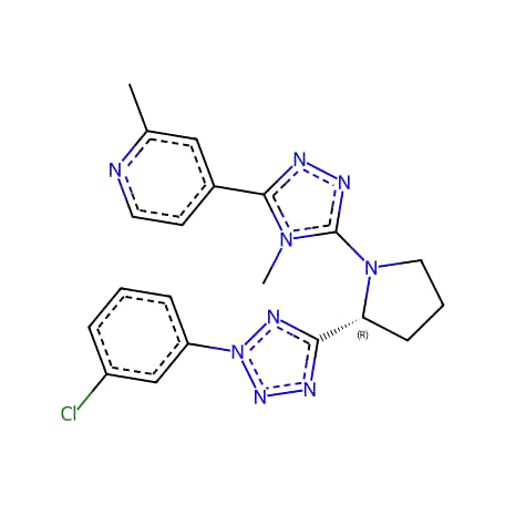 Cc1cc(-c2nnc(N3CCC[C@@H]3c3nnn(-c4cccc(Cl)c4)n3)n2C)ccn1